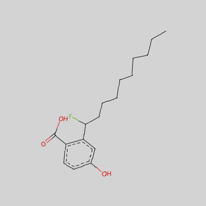 CCCCCCCCCC(F)c1cc(O)ccc1C(=O)O